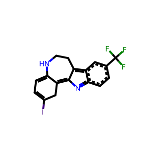 FC(F)(F)c1ccc2c(c1)=C1CCNC3=CC=C(I)CC3=C1N=2